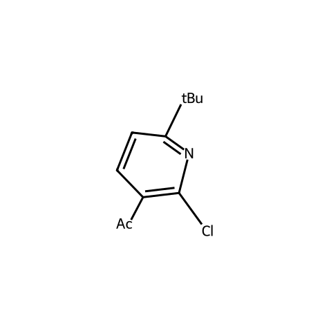 CC(=O)c1ccc(C(C)(C)C)nc1Cl